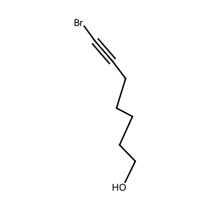 OCCCCCC#CBr